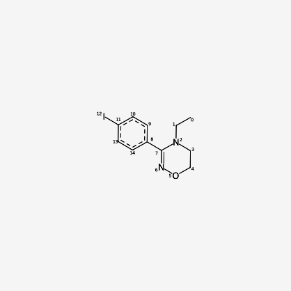 CCN1CCON=C1c1ccc(I)cc1